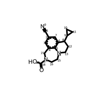 N#Cc1cc2c3c(c1)C(C1CC1)CCN3CCN(C(=O)O)C2